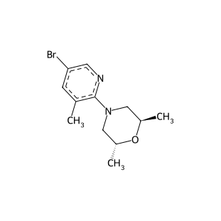 Cc1cc(Br)cnc1N1C[C@@H](C)O[C@H](C)C1